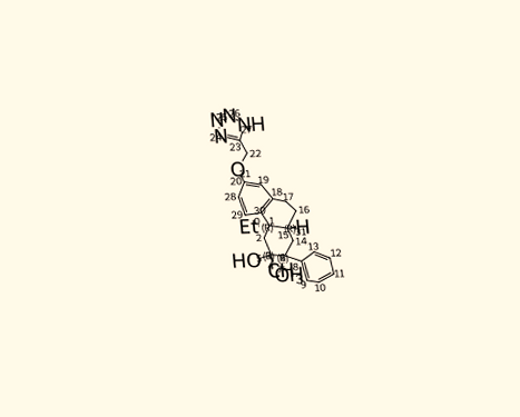 CC[C@@]12C[C@@](C)(O)[C@](O)(c3ccccc3)C[C@H]1CCc1cc(OCc3nnn[nH]3)ccc12